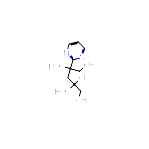 CCC(C)(C)CC(C)(CC)c1ncccn1